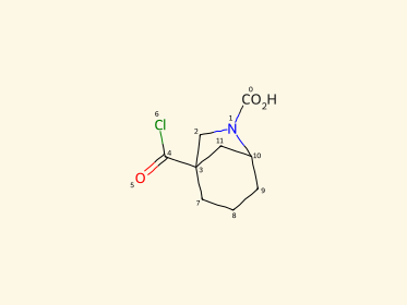 O=C(O)N1CC2(C(=O)Cl)CCCC1C2